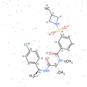 C[C@H](NC(=O)[C@@H](C)N(C)C(=O)c1cccc(S(=O)(=O)N2CC(C#N)C2)c1)c1ccc(Cl)cc1